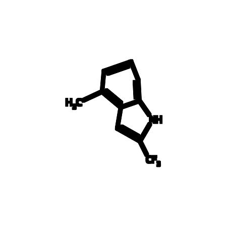 Cc1cccc2[nH]c(C(F)(F)F)cc12